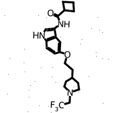 O=C(Nc1c[nH]c2ccc(OCCC3CCN(CC(F)(F)F)CC3)cc12)C1CCC1